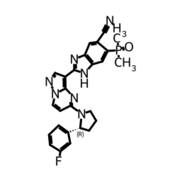 CP(C)(=O)c1cc2[nH]c(-c3cnn4ccc(N5CCC[C@@H]5c5cccc(F)c5)nc34)nc2cc1C#N